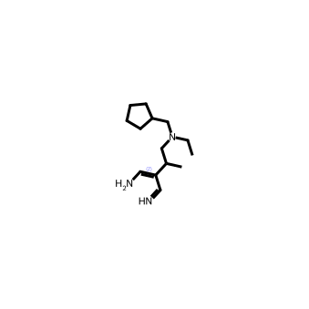 CCN(CC1CCCC1)CC(C)/C(C=N)=C/N